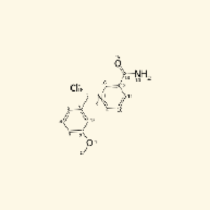 COc1cccc(C[n+]2cccc(C(N)=O)c2)c1.[Cl-]